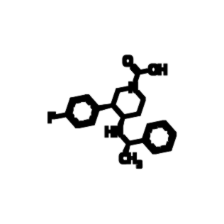 C[C@@H](N[C@@H]1CCN(C(=O)O)C[C@@H]1c1ccc(F)cc1)c1ccccc1